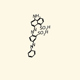 Nc1ccc(/N=N/c2ccc(/N=N/c3ccccc3)cc2S(=O)(=O)O)c2c(S(=O)(=O)O)cccc12